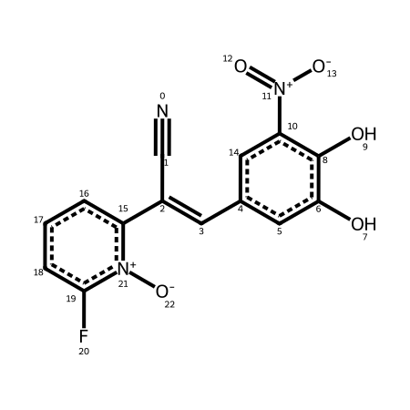 N#CC(=Cc1cc(O)c(O)c([N+](=O)[O-])c1)c1cccc(F)[n+]1[O-]